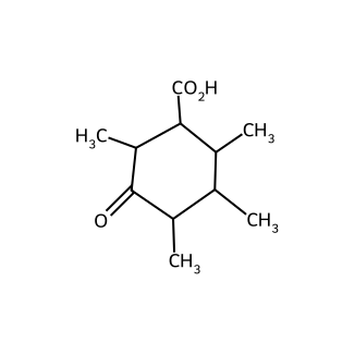 CC1C(=O)C(C)C(C(=O)O)C(C)C1C